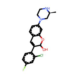 C[C@H]1CN(c2ccc3c(c2)OC(O)C(c2ccc(F)cc2Cl)=C3)CCN1